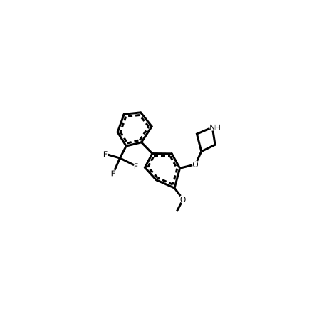 COc1ccc(-c2ccccc2C(F)(F)F)cc1OC1CNC1